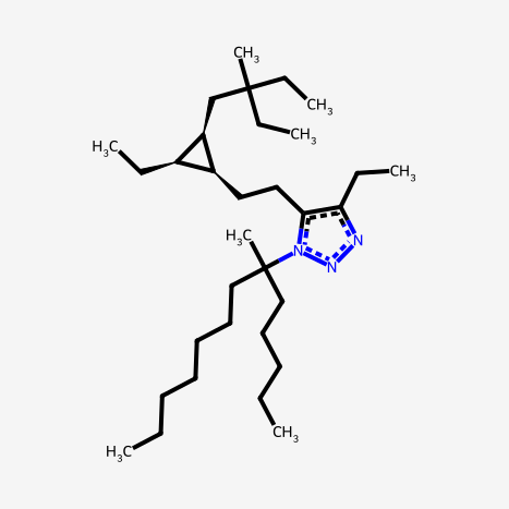 CCCCCCCC(C)(CCCCC)n1nnc(CC)c1CC[C@H]1[C@@H](CC)[C@H]1CC(C)(CC)CC